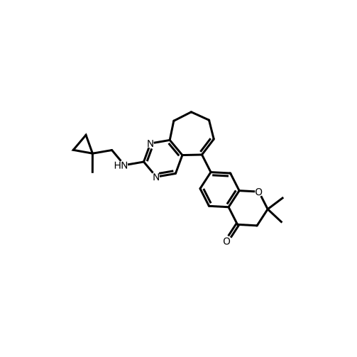 CC1(CNc2ncc3c(n2)CCCC=C3c2ccc3c(c2)OC(C)(C)CC3=O)CC1